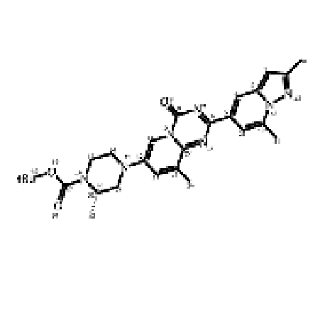 Cc1cc2cc(-c3nc(=O)n4cc(N5CCN(C(=O)OC(C)(C)C)[C@@H](C)C5)cc(C)c4n3)cc(C)n2n1